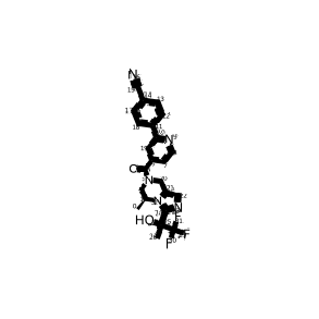 C[C@H]1CN(C(=O)c2ccnc(-c3ccc(C#N)cc3)c2)Cc2cnc(C(C)(O)C(F)(F)F)n21